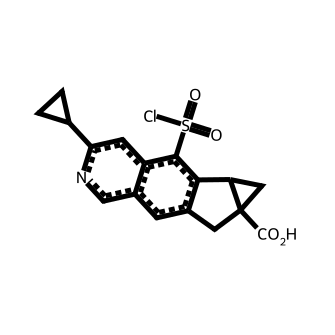 O=C(O)C12Cc3cc4cnc(C5CC5)cc4c(S(=O)(=O)Cl)c3C1C2